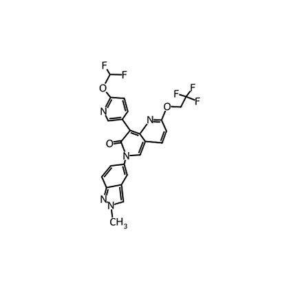 Cn1cc2cc(-n3cc4ccc(OCC(F)(F)F)nc4c(-c4ccc(OC(F)F)nc4)c3=O)ccc2n1